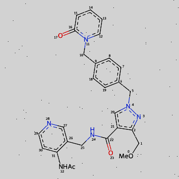 COCc1nn(Cc2ccc(Cn3ccccc3=O)cc2)cc1C(=O)NCc1cnccc1NC(C)=O